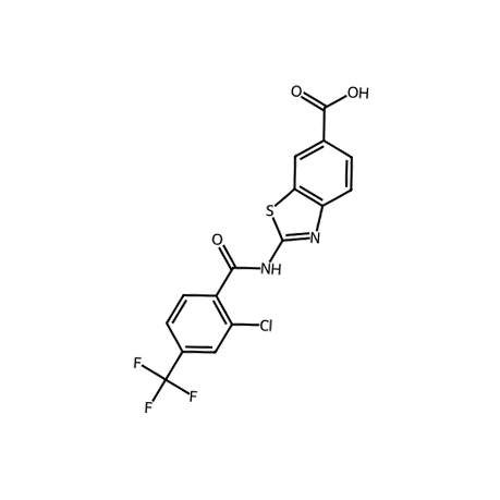 O=C(O)c1ccc2nc(NC(=O)c3ccc(C(F)(F)F)cc3Cl)sc2c1